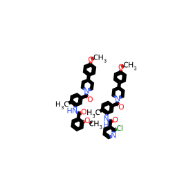 COc1ccc(C2CCN(C(=O)c3ccc(C)c(NC(=O)c4ccccc4OC)c3)CC2)cc1.COc1ccc(C2CCN(C(=O)c3ccc(C)c(NC(=O)c4cccnc4Cl)c3)CC2)cc1